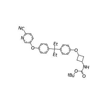 CCC(CC)(c1ccc(Oc2ccc(C#N)nc2)cc1)c1ccc(OC2CC(NC(=O)OC(C)(C)C)C2)cc1